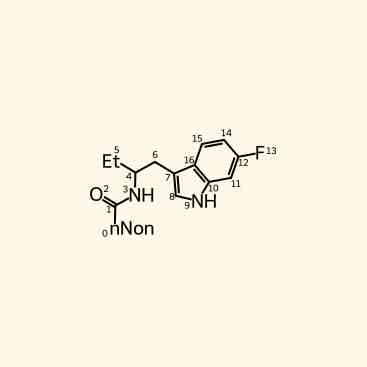 CCCCCCCCCC(=O)NC(CC)Cc1c[nH]c2cc(F)ccc12